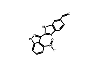 O=Cc1ccc2nc(-c3n[nH]c4cccc([N+](=O)[O-])c34)[nH]c2c1